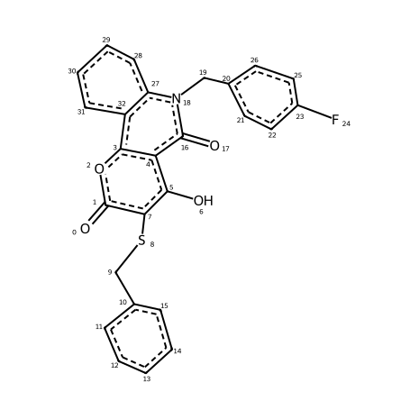 O=c1oc2c(c(O)c1SCc1ccccc1)c(=O)n(Cc1ccc(F)cc1)c1ccccc21